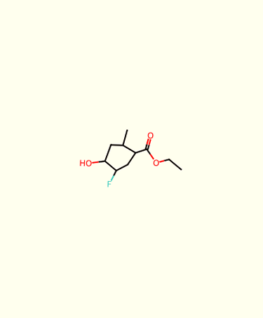 CCOC(=O)C1CC(F)C(O)CC1C